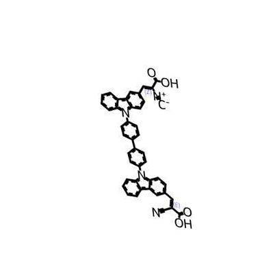 [C-]#[N+]/C(=C\c1ccc2c(c1)c1ccccc1n2-c1ccc(-c2ccc(-n3c4ccccc4c4cc(/C=C(\C#N)C(=O)O)ccc43)cc2)cc1)C(=O)O